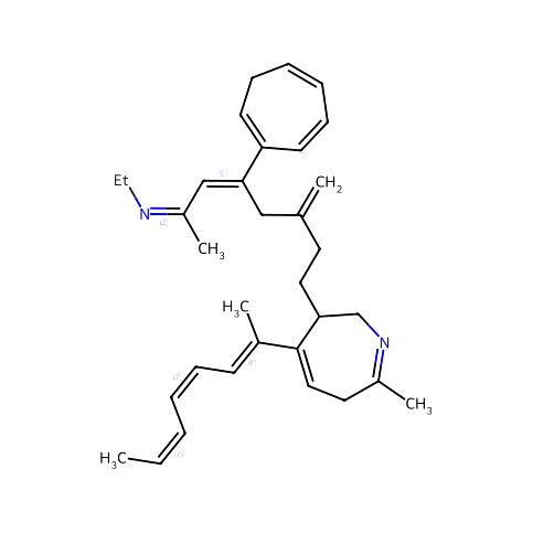 C=C(CCC1CN=C(C)CC=C1/C(C)=C/C=C\C=C/C)C/C(=C\C(C)=N/CC)C1=CCC=CC=C1